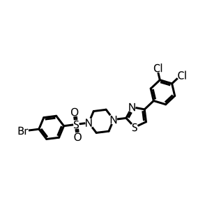 O=S(=O)(c1ccc(Br)cc1)N1CCN(c2nc(-c3ccc(Cl)c(Cl)c3)cs2)CC1